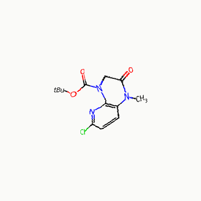 CN1C(=O)CN(C(=O)OC(C)(C)C)c2nc(Cl)ccc21